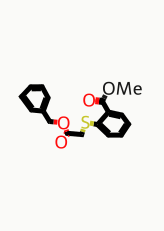 COC(=O)c1ccccc1SCC(=O)OCc1ccccc1